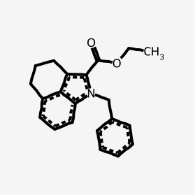 CCOC(=O)c1c2c3c(cccc3n1Cc1ccccc1)CCC2